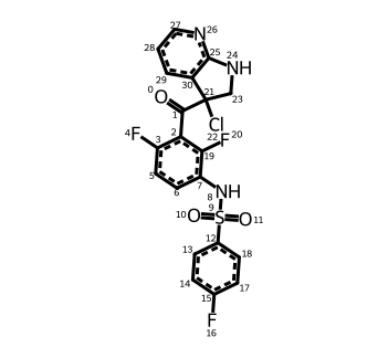 O=C(c1c(F)ccc(NS(=O)(=O)c2ccc(F)cc2)c1F)C1(Cl)CNc2ncccc21